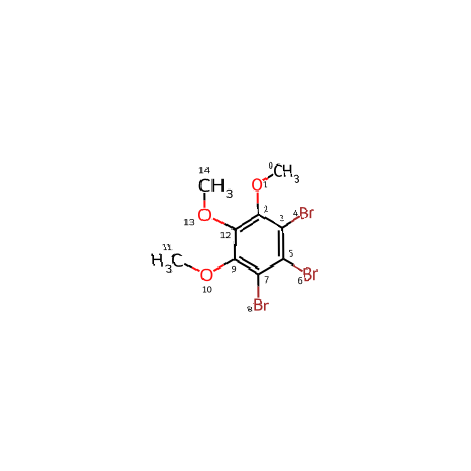 COc1c(Br)c(Br)c(Br)c(OC)c1OC